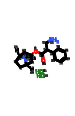 CN1[C@@H]2CC[C@H]1C[C@@H](OC(=O)C(CN)c1ccccc1)C2.Cl.Cl